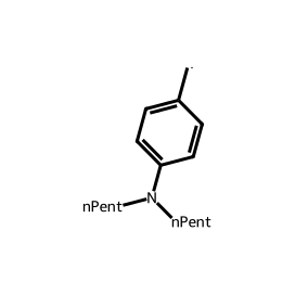 [CH2]c1ccc(N(CCCCC)CCCCC)cc1